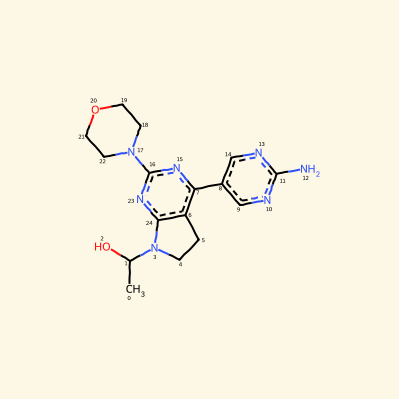 CC(O)N1CCc2c(-c3cnc(N)nc3)nc(N3CCOCC3)nc21